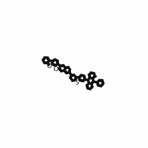 c1ccc(-c2c3ccccc3c(-c3ccc4c(c3)sc3ccc(-c5ccc6cc7c(cc6c5)oc5c7ccc6c7ccccc7oc65)cc34)c3ccccc23)cc1